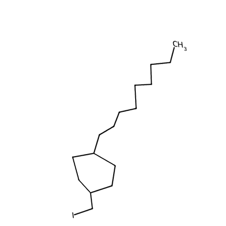 CCCCCCCCCC1CCC(CI)CC1